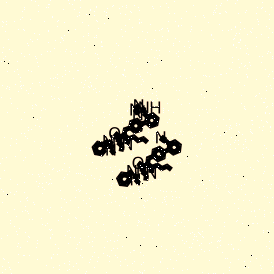 CCCCc1nc(C)n(-c2nc3ccccc3n2C)c(=O)c1Cc1ccc(-c2ccccc2-c2nnn[nH]2)cc1.CCCCc1nc(C)n(-c2nc3ccccc3n2C)c(=O)c1Cc1ccc(-c2ccccc2C#N)cc1